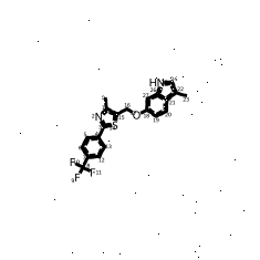 Cc1nc(-c2ccc(C(F)(F)F)cc2)sc1COc1ccc2c(C)c[nH]c2c1